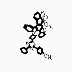 CC1(C)c2ccccc2-c2c1c1oc3ccccc3c1c1c2c2ccccc2n1-c1ccc(-c2nc(-c3ccccc3)nc(-c3ccc(C#N)cc3)n2)cc1